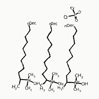 CCCCCCCCCCCCCCCCCCC(C)[N+](C)(C)O.CCCCCCCCCCCCCCCCCCC(C)[N+](C)(C)O.CCCCCCCCCCCCCCCCCCC(C)[N+](C)(C)O.O=P([O-])([O-])[O-]